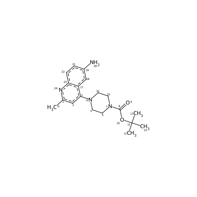 Cc1cc(N2CCN(C(=O)OC(C)(C)C)CC2)c2cc(N)ccc2n1